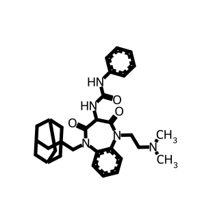 CN(C)CCN1C(=O)C(NC(=O)Nc2ccccc2)C(=O)N(CC23CC4CC(CC(C4)C2)C3)c2ccccc21